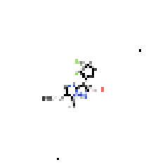 CCOC(=O)c1cnc2c(-c3cccc(F)c3F)c(O)nn2c1C(C)C